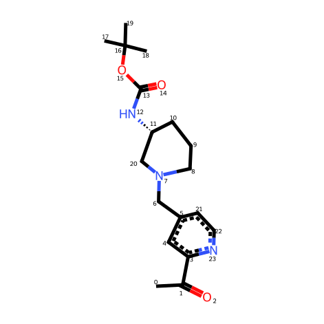 CC(=O)c1cc(CN2CCC[C@@H](NC(=O)OC(C)(C)C)C2)ccn1